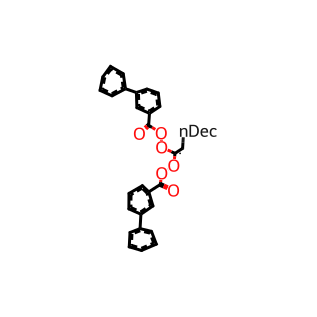 [CH2]CCCCCCCCCC[C](OOC(=O)c1cccc(-c2ccccc2)c1)OOC(=O)c1cccc(-c2ccccc2)c1